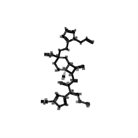 C=CCn1nnnc1SCC1(C(=O)O)CS[C@@H]2C(NC(=O)C(=NOCC)c3csc(N)n3)C(=O)N2C1